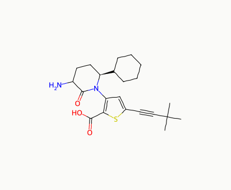 CC(C)(C)C#Cc1cc(N2C(=O)C(N)CC[C@H]2C2CCCCC2)c(C(=O)O)s1